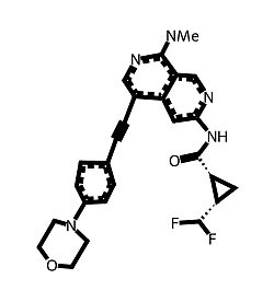 CNc1ncc(C#Cc2ccc(N3CCOCC3)cc2)c2cc(NC(=O)[C@@H]3C[C@@H]3C(F)F)ncc12